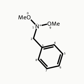 CO[N+](Cc1ccccc1)OC